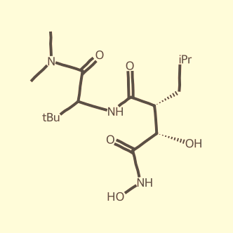 CC(C)C[C@@H](C(=O)NC(C(=O)N(C)C)C(C)(C)C)[C@H](O)C(=O)NO